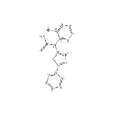 NC(=O)N(c1ncc(-c2ccccc2)s1)c1ccccc1Cl